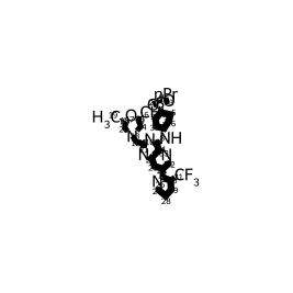 CCCS(=O)(=O)c1ccc(Nc2nc(CN3C[C@@H](C)O[C@@H](C)C3)nc3cc(-c4ncccc4C(F)(F)F)cnc23)cc1